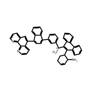 C[C@H](c1cccc(-c2ccc(-c3cc4cccnc4c4ncccc34)c3ccccc23)c1)c1c(C2CCC=CC2N)c2ccccc2c2ccccc12